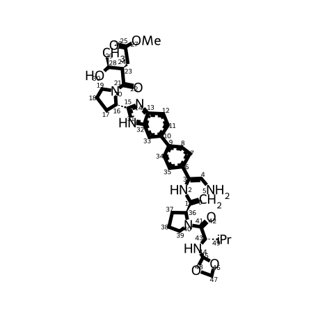 C=C(N/C(=C\N)c1ccc(-c2ccc3nc([C@@H]4CCCN4C(=O)[C@@H](CC(=O)OC)[C@H](C)O)[nH]c3c2)cc1)[C@@H]1CCCN1C(=O)[C@@H](NC1OCO1)C(C)C